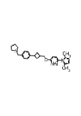 Cc1ccc(C)n1-c1ccc(OCC2CC(c3ccc(CN4CCCC4)cc3)C2)nn1